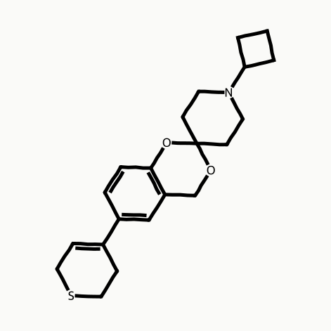 C1=C(c2ccc3c(c2)COC2(CCN(C4CCC4)CC2)O3)CCSC1